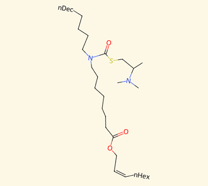 CCCCCC/C=C\COC(=O)CCCCCCCN(CCCCCCCCCCCCCC)C(=O)SCC(C)N(C)C